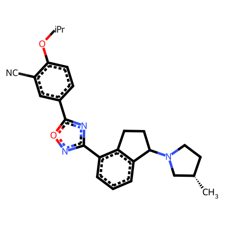 CC(C)Oc1ccc(-c2nc(-c3cccc4c3CCC4N3CC[C@H](C)C3)no2)cc1C#N